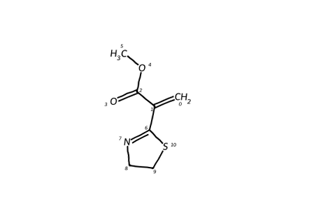 C=C(C(=O)OC)C1=NCCS1